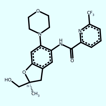 C[C@@]1(CO)Cc2cc(NC(=O)c3cccc(C(F)(F)F)n3)c(N3CCOCC3)cc2O1